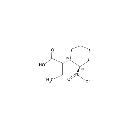 CCC(C(=O)O)[C@@H]1CCCC[C@H]1[N+](=O)[O-]